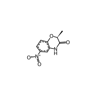 C[C@@H]1Oc2ccc([N+](=O)[O-])cc2NC1=O